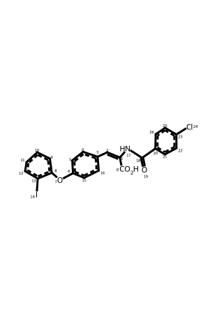 O=C(O)/C(=C\c1ccc(Oc2ccccc2I)cc1)NC(=O)c1ccc(Cl)cc1